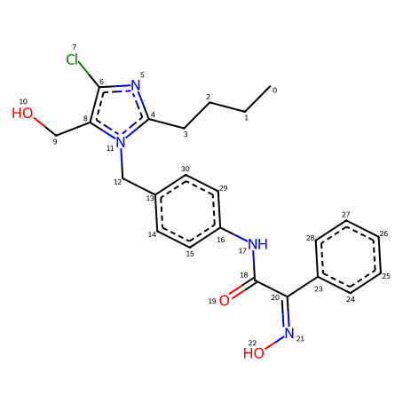 CCCCc1nc(Cl)c(CO)n1Cc1ccc(NC(=O)/C(=N\O)c2ccccc2)cc1